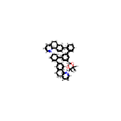 CC1(C)OB(c2cc(-c3ccccc3-c3ccc4c(c3)CCc3cccnc3-4)cc(-c3ccccc3-c3ccc4c(c3)CCc3cccnc3-4)c2)OC1(C)C